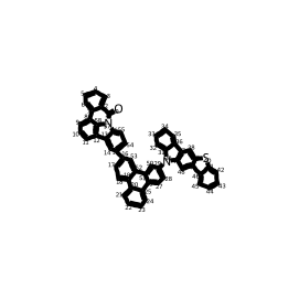 O=c1c2ccccc2c2cccc3c4cc(-c5ccc6c7ccccc7c7ccc(-n8c9ccccc9c9cc%10sc%11ccccc%11c%10cc98)cc7c6c5)ccc4n1c23